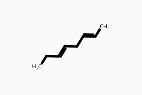 C/[C]=C/C/C=C/CC